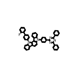 Fc1ccccc1-c1ccc(-n2c3ccccc3c3ccc4c(c5ccccc5n4-c4ccc(-c5nc(-c6ccccc6)nc(-c6ccccc6)n5)cc4)c32)cc1